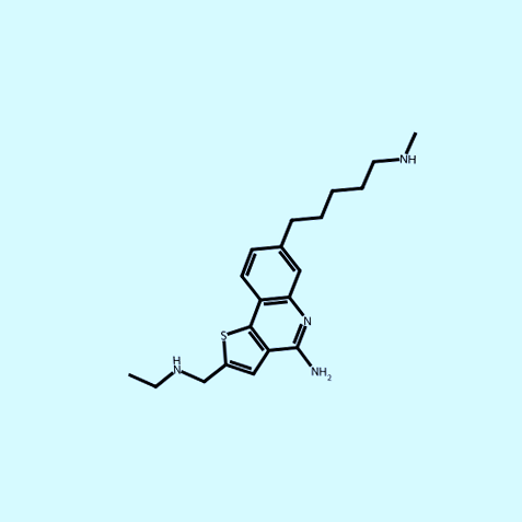 CCNCc1cc2c(N)nc3cc(CCCCCNC)ccc3c2s1